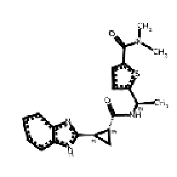 C[C@@H](NC(=O)[C@@H]1C[C@H]1c1nc2ccccc2[nH]1)c1ccc(C(=O)N(C)C)s1